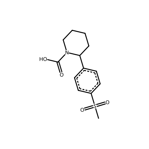 CS(=O)(=O)c1ccc(C2CCCCN2C(=O)O)cc1